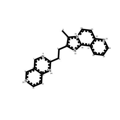 Cc1c(CCc2ncc3cnccc3n2)nc2c3cccnc3ccn12